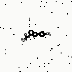 NC(=O)OC1CCCc2cc(-c3ccc(C(F)(F)F)cc3)ccc21